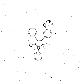 CC1(C)C(c2cccc(OC(F)(F)F)c2)N(c2ccccc2)C(=O)N1c1ccccc1